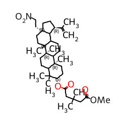 C=C(C)[C@@H]1CC[C@]2(CC[N+](=O)[O-])CC[C@]3(C)C(CCC4[C@@]5(C)CC[C@H](OC(=O)CC(C)(C)CC(=O)OC)C(C)(C)C5CC[C@]43C)C12